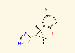 Brc1ccc2c(c1)[C@H]1C(c3c[nH]cn3)[C@H]1CO2